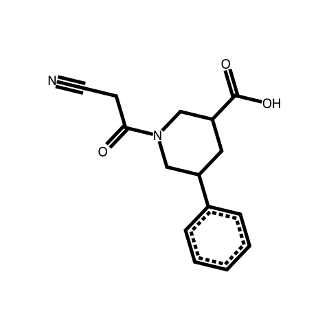 N#CCC(=O)N1CC(C(=O)O)CC(c2ccccc2)C1